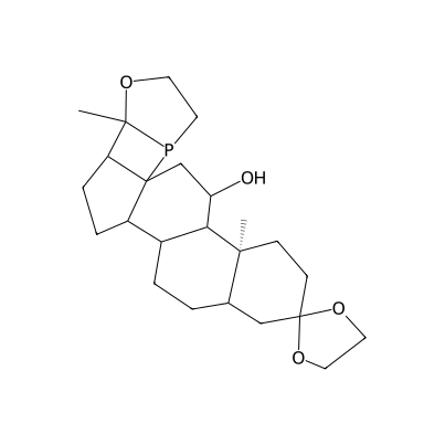 CC12OCCP1C13CC(O)C4C(CCC5CC6(CC[C@@]54C)OCCO6)C1CCC23